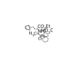 CCOC(=O)C(CCc1ccccc1)N[C@@H](C)C(=O)N1C(C(=O)O)CCC12CCCCC2